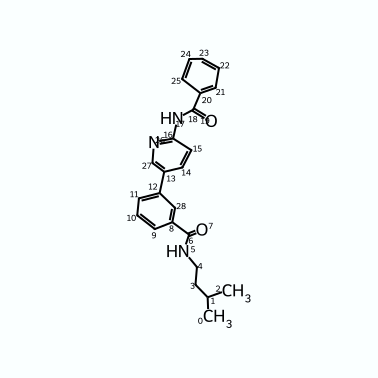 CC(C)CCNC(=O)c1cccc(-c2ccc(NC(=O)c3ccccc3)nc2)c1